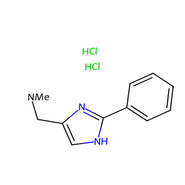 CNCc1c[nH]c(-c2ccccc2)n1.Cl.Cl